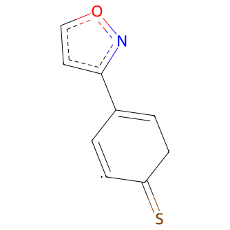 S=C1[C]=CC(c2ccon2)=CC1